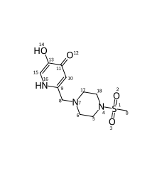 CS(=O)(=O)N1CCN(Cc2cc(=O)c(O)c[nH]2)CC1